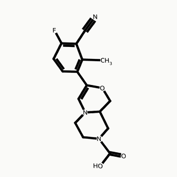 Cc1c(C2=CN3CCN(C(=O)O)CC3CO2)ccc(F)c1C#N